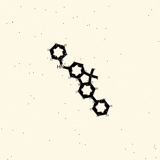 CC1(C)c2ccc(Nc3ccccc3)cc2-c2ccc(-c3ccccc3)cc21